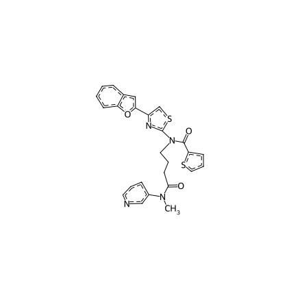 CN(C(=O)CCCN(C(=O)c1cccs1)c1nc(-c2cc3ccccc3o2)cs1)c1cccnc1